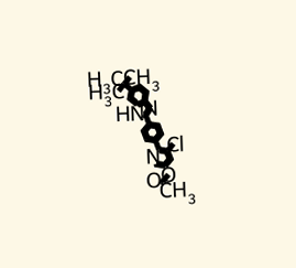 CC(=O)Oc1cnc(-c2ccc(-c3nc4ccc(C(C)(C)C)cc4[nH]3)cc2)c(Cl)c1